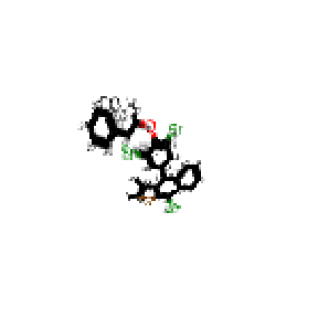 Cc1sc2c(Br)c3ccccc3c(-c3cc(Br)c(OC(Cc4ccccc4)C(=O)O)c(Br)c3)c2c1C